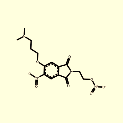 CN(C)CCCOc1cc2c(cc1[N+](=O)[O-])C(=O)N(CCO[N+](=O)[O-])C2=O